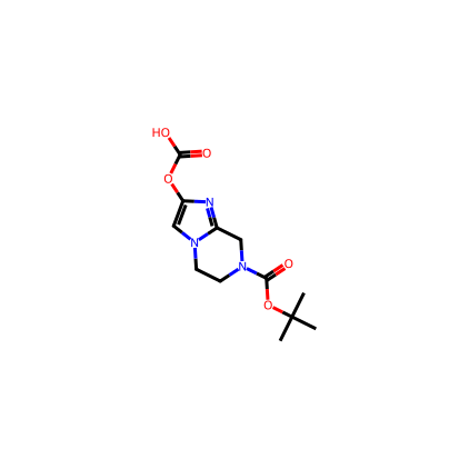 CC(C)(C)OC(=O)N1CCn2cc(OC(=O)O)nc2C1